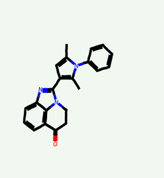 Cc1cc(-c2nc3cccc4c3n2CCC4=O)c(C)n1-c1ccccc1